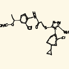 CC(OC=O)c1ccc(NC(=O)CSc2nnc(N)n2-c2ccc(C3CC3)cc2Cl)c(Cl)c1